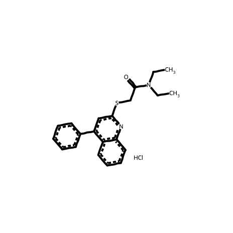 CCN(CC)C(=O)CSc1cc(-c2ccccc2)c2ccccc2n1.Cl